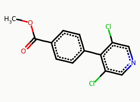 COC(=O)c1ccc(-c2c(Cl)cncc2Cl)cc1